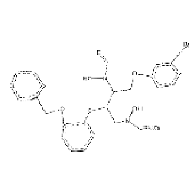 O=CN(O)CC(Oc1ccccc1OCc1ccccc1)C(COc1cccc(Br)c1)N(O)C=O